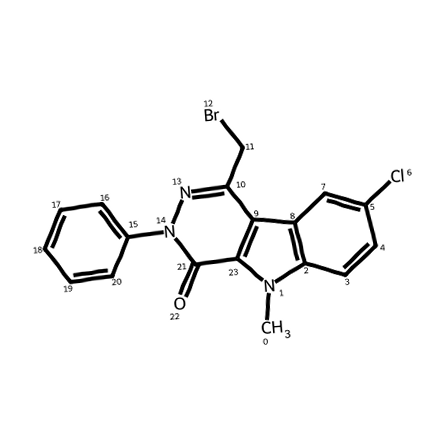 Cn1c2ccc(Cl)cc2c2c(CBr)nn(-c3ccccc3)c(=O)c21